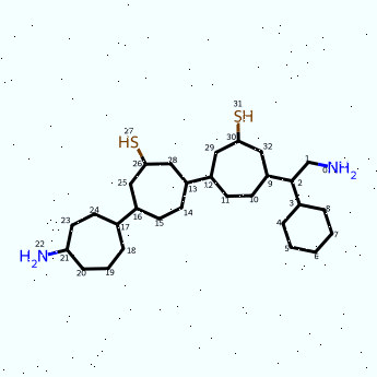 NCC(C1CCCCC1)C1CCC(C2CCC(C3CCCC(N)CC3)CC(S)C2)CC(S)C1